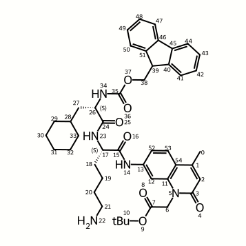 Cc1cc(=O)n(CC(=O)OC(C)(C)C)c2cc(NC(=O)[C@H](CCCCN)NC(=O)[C@H](CC3CCCCC3)NC(=O)OCC3c4ccccc4-c4ccccc43)ccc12